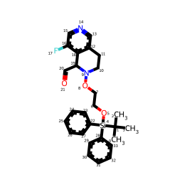 CC(C)(C)[Si](OCCON1CCc2cncc(F)c2C1C=O)(c1ccccc1)c1ccccc1